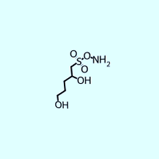 NOS(=O)(=O)CC(O)CCCO